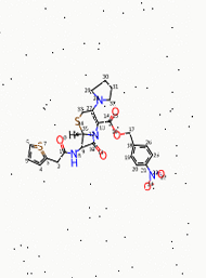 O=C(Cc1cccs1)NC1C(=O)N2C(C(=O)OCc3ccc([N+](=O)[O-])cc3)=C(N3CCCC3)CS[C@@H]12